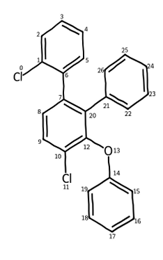 Clc1ccccc1-c1ccc(Cl)c(Oc2ccccc2)c1-c1ccccc1